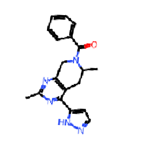 Cc1nc2c(c(-c3ccn[nH]3)n1)CC(C)N(C(=O)c1ccccc1)C2